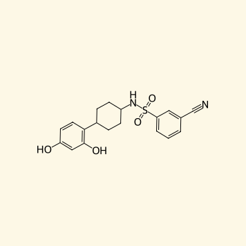 N#Cc1cccc(S(=O)(=O)NC2CCC(c3ccc(O)cc3O)CC2)c1